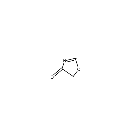 O=C1CO[C]=N1